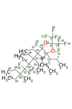 CCC(CC)C1(F)OC(C(F)(F)F)(C(F)(F)F)OC1(F)C(CC)(CC)C(CC)(CC)C(F)(F)C(F)(F)C(C)(CC)CC